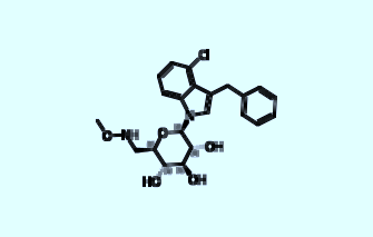 CONC[C@H]1O[C@@H](n2cc(Cc3ccccc3)c3c(Cl)cccc32)[C@H](O)[C@@H](O)[C@@H]1O